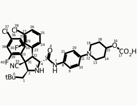 CC(C)(C)C[C@@H]1N[C@@H](C(=O)Nc2ccc(N3CCC(OC(=O)O)CC3)cc2)[C@H](c2cccc(Cl)c2F)[C@@]1(C#N)c1ccc(Cl)cc1F